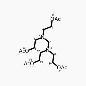 CC(=O)OCCN(CCOC(C)=O)CN(CCOC(C)=O)CCOC(C)=O